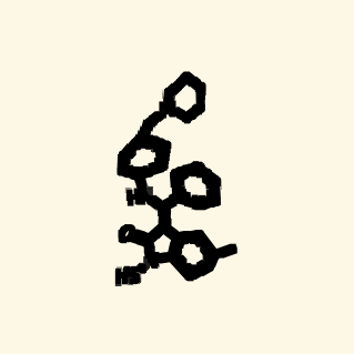 Cc1ccc2c(c1)/C(=C(/Nc1ccc(CN3CCCCC3)cc1)c1ccccc1)C(=O)N2S